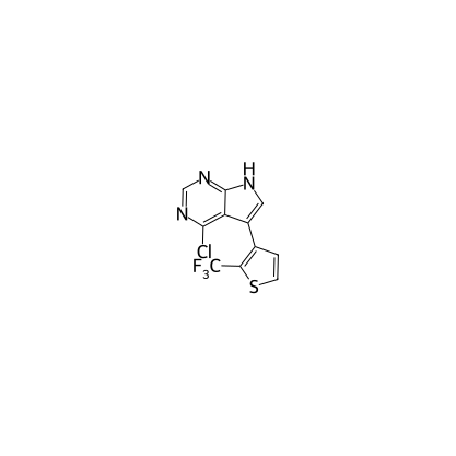 FC(F)(F)c1sccc1-c1c[nH]c2ncnc(Cl)c12